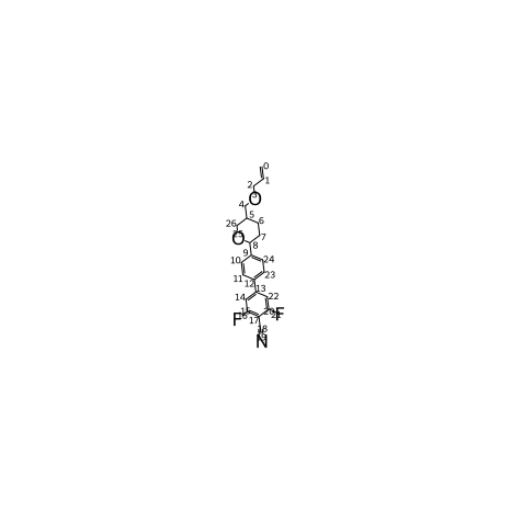 C=CCOCC1CCC(c2ccc(-c3cc(F)c(C#N)c(F)c3)cc2)OC1